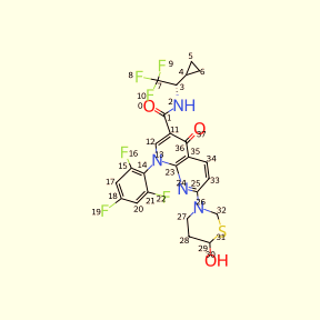 O=C(N[C@@H](C1CC1)C(F)(F)F)c1cn(-c2c(F)cc(F)cc2F)c2nc(N3CCC(O)SC3)ccc2c1=O